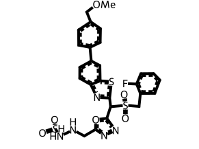 COCc1ccc(-c2ccc3nc(C(c4nnc(CNN[SH](=O)=O)o4)S(=O)(=O)Cc4ccccc4F)sc3c2)cc1